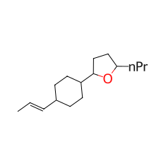 C/C=C/C1CCC(C2CCC(CCC)O2)CC1